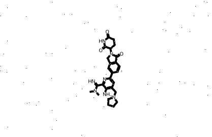 CN(C)C(=N)c1nc(-c2ccc3c(c2)CN(C2CCC(=O)NC2=O)C3=O)cc(CN2CCCC2)c1N